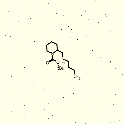 CC(C)(C)OC(=O)N1CCCCC1CNCCCC(F)(F)F